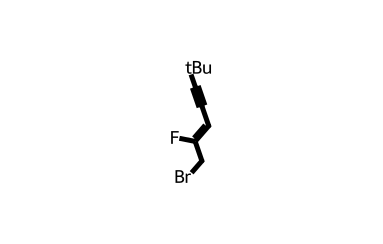 CC(C)(C)C#C/C=C(\F)CBr